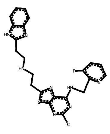 Fc1cccnc1CNc1nc(Cl)nc2sc(CCNCCc3nc4ccccc4[nH]3)nc12